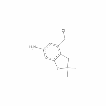 CC1(C)Cc2c(CCl)cc(N)cc2O1